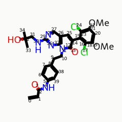 C=CC(=O)Nc1ccc(CCn2c(=O)c(-c3c(Cl)c(OC)cc(OC)c3Cl)cc3cnc(NCC(C)(C)O)nc32)cc1